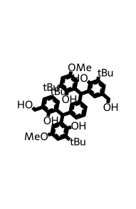 COc1cc(C(c2cccc(C(c3cc(CO)cc(C(C)(C)C)c3O)c3cc(OC)cc(C(C)(C)C)c3O)c2)c2cc(C(C)(C)C)cc(CO)c2O)c(O)c(C(C)(C)C)c1